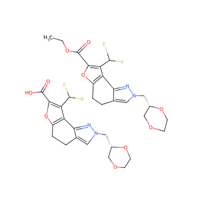 CCOC(=O)c1oc2c(c1C(F)F)-c1nn(C[C@H]3COCCO3)cc1CC2.O=C(O)c1oc2c(c1C(F)F)-c1nn(C[C@H]3COCCO3)cc1CC2